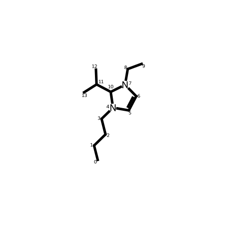 CCCCN1C=CN(CC)C1C(C)C